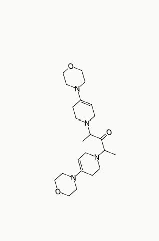 CC(C(=O)C(C)N1CC=C(N2CCOCC2)CC1)N1CC=C(N2CCOCC2)CC1